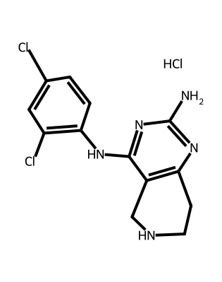 Cl.Nc1nc2c(c(Nc3ccc(Cl)cc3Cl)n1)CNCC2